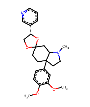 COc1ccc(C23CCN(C)C2CC2(CC3)OC[C@H](c3cccnc3)O2)cc1OC